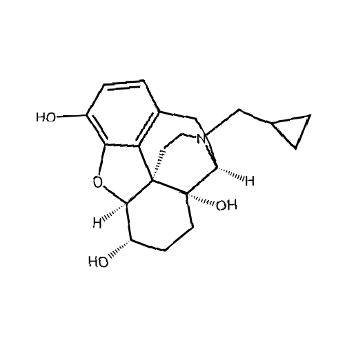 Oc1ccc2c3c1O[C@@H]1[C@@H](O)CC[C@]4(O)[C@H](C2)N(CC2CC2)CC[C@@]314